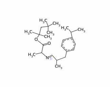 CC(/C=N/C(C)C(=O)OC(C)(C)CC(C)(C)C)Cc1ccc(C(C)C)cc1